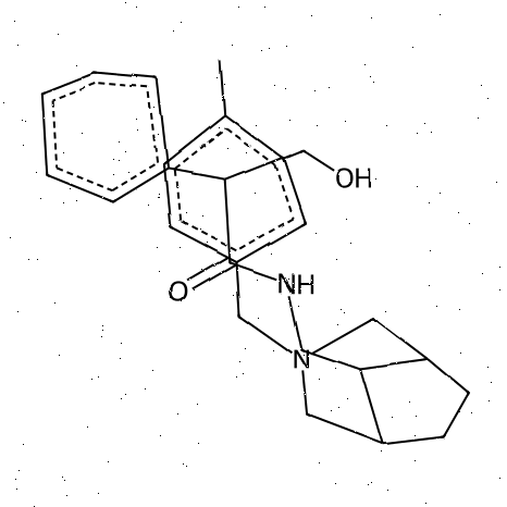 Cc1ccc(CN2CC3CCC(C2)C3CNC(=O)C(CO)c2ccccc2)cc1